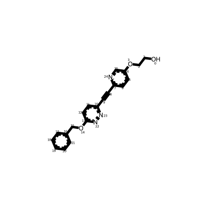 OCCOc1ccc(C#Cc2ccc(OCc3ccccc3)nn2)nc1